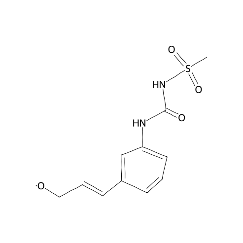 CS(=O)(=O)NC(=O)Nc1cccc(/C=C/C[O])c1